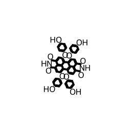 O=C1NC(=O)c2cc(Oc3ccc(O)cc3)c3c4c(Oc5ccc(O)cc5)cc5c6c(cc(Oc7ccc(O)cc7)c(c7c(Oc8ccc(O)cc8)cc1c2c73)c64)C(=O)NC5=O